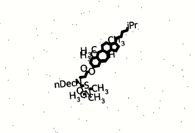 CCCCCCCCCCN(CCC(=O)O[C@H]1CC[C@@]2(C)C(=CC[C@@H]3C(CC[C@]4(C)C(CCCCC(C)C)CCC34)C2C)C1)C(=O)SC(C)N(C)C